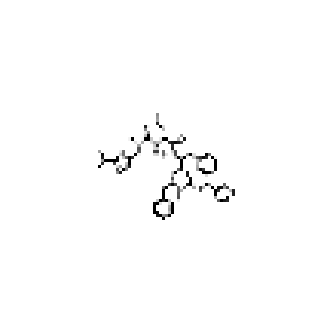 CCC[C@H](NC(=O)N(C)Cc1csc(C(C)C)n1)C(=O)NC(CC[C@@H](Cc1ccccc1)NC(=O)OCc1cncs1)Cc1ccccc1